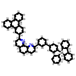 c1ccc([Si]2(c3ccc(-c4cccc(-c5ccc6ccc7ccc(-c8ccc9c%10ccccc%10c%10ccccc%10c9c8)nc7c6n5)c4)cc3)c3ccccc3-c3ccccc32)cc1